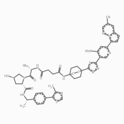 CNc1cc(-c2ccc3cc(C#N)cnn23)ncc1-c1nnc(C23CCC(NC(=O)CCC(=O)N[C@H](C(=O)N4C[C@H](O)C[C@H]4C(=O)N[C@@H](C)c4ccc(-c5scnc5C)cc4)C(C)(C)C)(CC2)CC3)s1